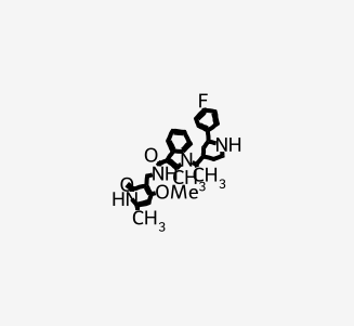 COc1cc(C)[nH]c(=O)c1CNC(=O)c1c(C)n(C(C)C2CCNC(c3ccc(F)cc3)C2)c2ccccc12